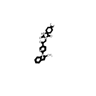 Cc1cc2ccccc2n1-c1ccc(C(=O)CN2C(=O)NC3(CCC(F)(F)CC3)C2=O)cn1